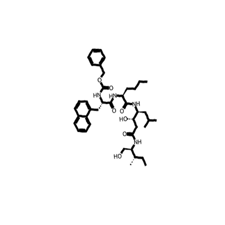 CCCC[C@H](NC(=O)[C@H](Cc1cccc2ccccc12)NC(=O)OCc1ccccc1)C(=O)N[C@@H](CC(C)C)[C@@H](O)CC(=O)N[C@H](CO)[C@@H](C)CC